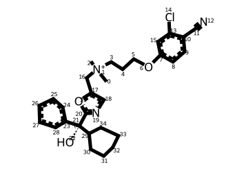 C[N+](C)(CCCOc1ccc(C#N)c(Cl)c1)Cc1cnc([C@](O)(c2ccccc2)C2CCCCC2)o1